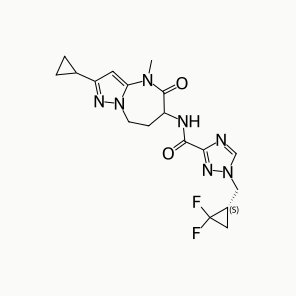 CN1C(=O)C(NC(=O)c2ncn(C[C@@H]3CC3(F)F)n2)CCn2nc(C3CC3)cc21